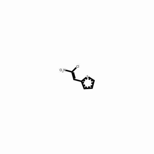 O=[N+]([O-])C(Cl)=Cc1cccs1